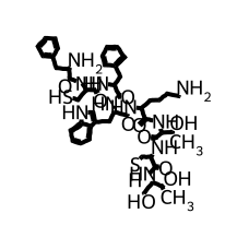 CC(O)C(CO)NC(=O)C(CS)NC(=O)C(NC(=O)C(CCCCN)NC(=O)C(Cc1c[nH]c2ccccc12)NC(=O)C(Cc1ccccc1)NC(=O)C(CS)NC(=O)C(N)Cc1ccccc1)C(C)O